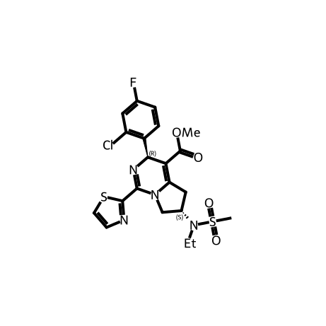 CCN([C@H]1CC2=C(C(=O)OC)[C@H](c3ccc(F)cc3Cl)N=C(c3nccs3)N2C1)S(C)(=O)=O